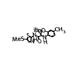 CSc1cnc(NC(=O)C(=O)Nc2ccc(C)cc2OCC(C)C)s1